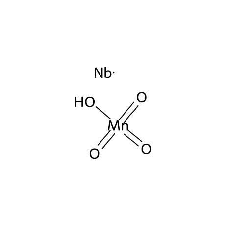 [Nb].[O]=[Mn](=[O])(=[O])[OH]